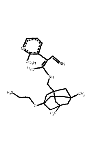 C/C(NCC12CC3(C)CC(C)(C1)CC(OCCN)(C3)C2)=C(/C=N)c1cccnc1C(=O)O